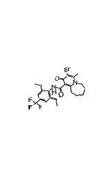 CCc1cc(C(F)(F)F)cc(CC)c1NC(=O)c1c2n(c(C)c(Br)c1=O)CCCCC2